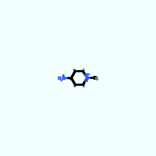 [CH2-][NH+]1CCC(N)CC1